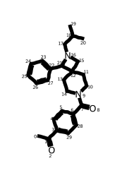 CC(=O)c1ccc(C(=O)N2CCC3(CC2)CN(CC(C)C)C3c2ccccc2)cc1